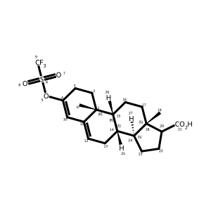 C[C@]12CCC(OS(=O)(=O)C(F)(F)F)=CC1=CC[C@@H]1[C@H]2CC[C@]2(C)C(C(=O)O)CC[C@@H]12